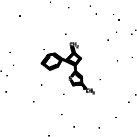 C=C1CC(c2cc(C)cs2)=C1c1ccccc1